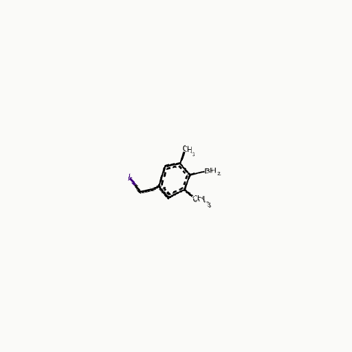 Bc1c(C)cc(CI)cc1C